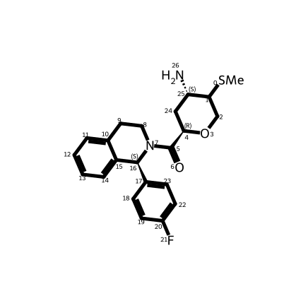 CSC1CO[C@@H](C(=O)N2CCc3ccccc3[C@@H]2c2ccc(F)cc2)C[C@@H]1N